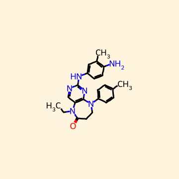 CCN1C(=O)CCN(c2ccc(C)cc2)c2nc(Nc3ccc(N)c(C)c3)ncc21